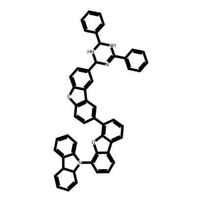 C1=CC2c3ccccc3N(c3cccc4c3oc3c(-c5ccc6sc7ccc(C8N=C(c9ccccc9)NC(c9ccccc9)N8)cc7c6c5)cccc34)C2C=C1